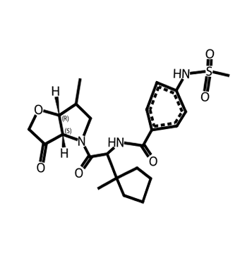 CC1CN(C(=O)C(NC(=O)c2ccc(NS(C)(=O)=O)cc2)C2(C)CCCC2)[C@@H]2C(=O)CO[C@H]12